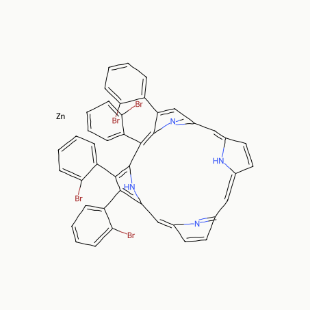 Brc1ccccc1C1=Cc2cc3ccc(cc4nc(cc5[nH]c(c(-c6ccccc6Br)c1n2)c(-c1ccccc1Br)c5-c1ccccc1Br)C=C4)[nH]3.[Zn]